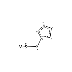 CSSc1ccsc1